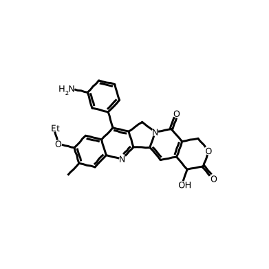 CCOc1cc2c(-c3cccc(N)c3)c3c(nc2cc1C)-c1cc2c(c(=O)n1C3)COC(=O)C2O